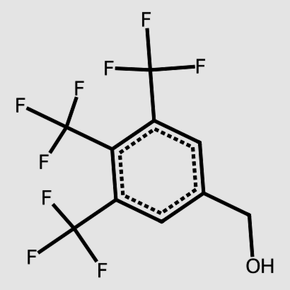 OCc1cc(C(F)(F)F)c(C(F)(F)F)c(C(F)(F)F)c1